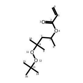 C=CC(=O)OC(C)CC(C)(C)OOC(C)(C)C